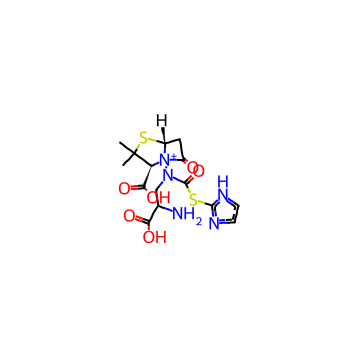 CC1(C)S[C@@H]2CC(=O)[N+]2(N(CC(N)C(=O)O)C(=O)Sc2ncc[nH]2)[C@H]1C(=O)O